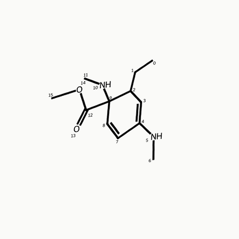 CCC1C=C(NC)C=CC1(NC)C(=O)OC